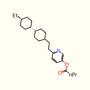 CCCC(=O)Oc1ccc(CCC2CCC([C@H]3CC[C@H](CC)CC3)CC2)nc1